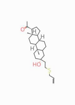 C=CCSCC[C@@]1(O)CC[C@@]2(C)C(CC[C@H]3[C@@H]4CC[C@H](C(C)=O)[C@@]4(C)CC[C@@H]32)C1